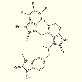 CC(C)n1c(=O)n(C)c2cc(CC(C)n3c(=O)[nH]c4ccc(F)c(Cn5c(=O)n(C(C)C)c6c(F)c(F)c(F)cc65)c43)ccc21